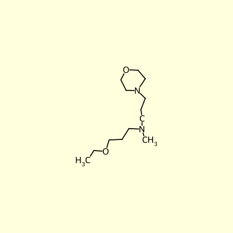 CCOCCCN(C)CCCN1CCOCC1